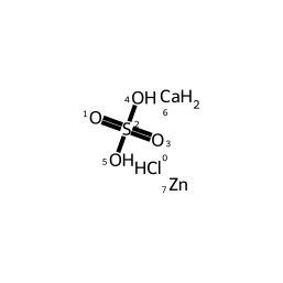 Cl.O=S(=O)(O)O.[CaH2].[Zn]